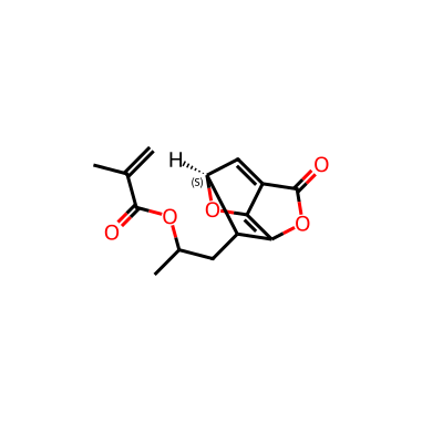 C=C(C)C(=O)OC(C)CC1C2=C3O[C@H]1C=C3C(=O)O2